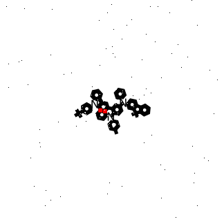 CC1=CCC(N(c2ccccc2)c2ccc(N(c3ccccc3)c3ccc4c(c3)C(C)(C)c3ccccc3-4)cc2-c2ccc3c(c2)c2ccccc2n3-c2ccc(C(C)(C)C)cc2)C=C1